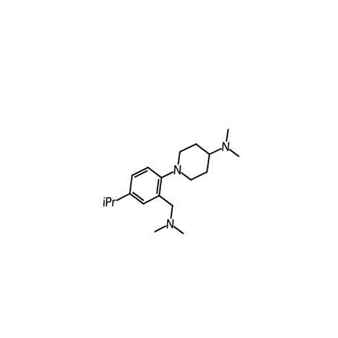 CC(C)c1ccc(N2CCC(N(C)C)CC2)c(CN(C)C)c1